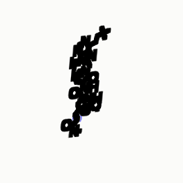 COC(=O)N[C@@H](CC/C=C/C(=O)N(C)C)C(=O)Nc1cccn(Cc2nc3c(CCC(C)(C)C)ncnc3n2PI)c1=O